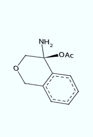 CC(=O)O[C@]1(N)COCc2ccccc21